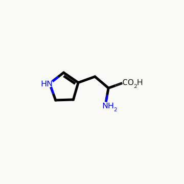 NC(CC1=CNCC1)C(=O)O